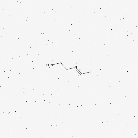 NCC/N=C/I